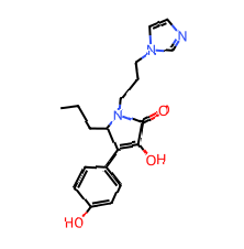 CCCC1C(c2ccc(O)cc2)=C(O)C(=O)N1CCCn1ccnc1